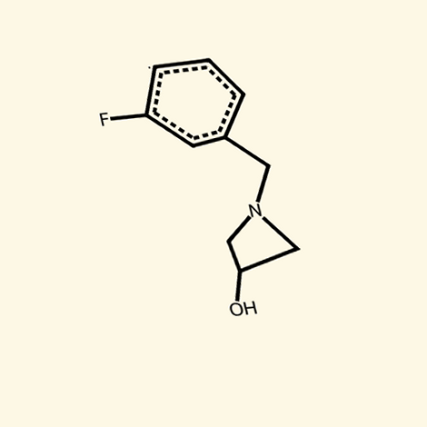 OC1CN(Cc2cc[c]c(F)c2)C1